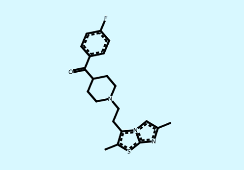 Cc1cn2c(CCN3CCC(C(=O)c4ccc(F)cc4)CC3)c(C)sc2n1